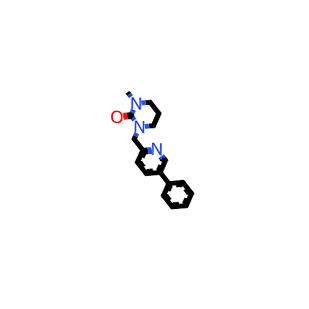 CN1CCCN(Cc2ccc(-c3ccccc3)cn2)C1=O